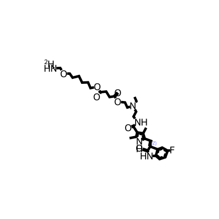 [2H]NCOCCCCCCOC(=O)CCC(=O)OCCN(CC)CCNC(=O)c1c(C)[nH]c(/C=C2\C(=O)Nc3ccc(F)cc32)c1C